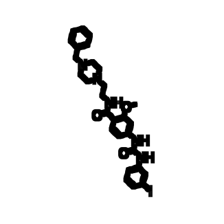 COc1cc(NC(=O)Nc2cccc(I)c2)ccc1C(=O)NCCN1CCN(Cc2ccccc2)CC1